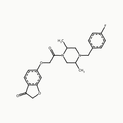 CC1CN(C(=O)COc2ccc3c(c2)OCC3=O)C(C)CN1Cc1ccc(F)cc1